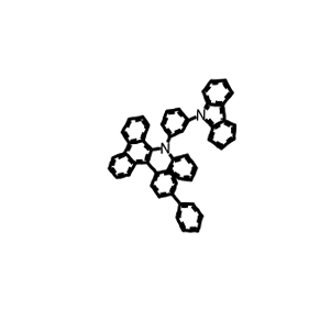 c1ccc(-c2ccc(-c3c(N(c4ccccc4)c4cccc(-n5c6ccccc6c6ccccc65)c4)c4ccccc4c4ccccc34)cc2)cc1